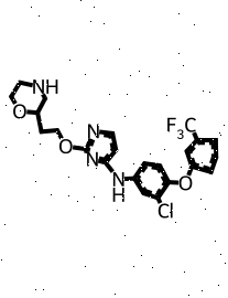 FC(F)(F)c1cccc(Oc2ccc(Nc3ccnc(OCCC4CNCCO4)n3)cc2Cl)c1